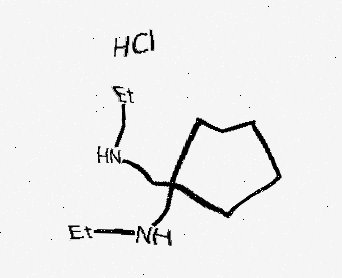 CCNC1(NCC)CCCC1.Cl